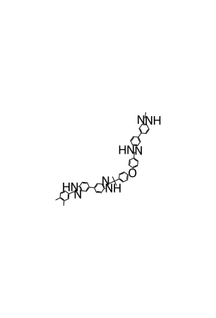 Cc1nc2cc(-c3ccc4[nH]c(-c5ccc(Oc6ccc(C(C)(C)c7nc8cc(-c9ccc%10[nH]c(-c%11ccc(C)c(C)c%11)nc%10c9)ccc8[nH]7)cc6)cc5)nc4c3)ccc2[nH]1